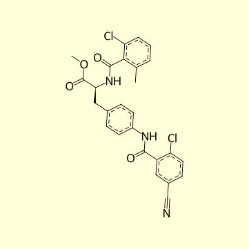 COC(=O)[C@H](Cc1ccc(NC(=O)c2cc(C#N)ccc2Cl)cc1)NC(=O)c1c(C)cccc1Cl